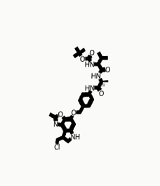 Cc1nc2c3c(cc(OCc4ccc(NC(=O)[C@H](C)NC(=O)C(NC(=O)OC(C)(C)C)C(C)C)cc4)c2o1)NCC3CCl